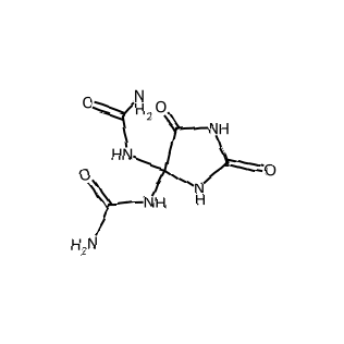 NC(=O)NC1(NC(N)=O)NC(=O)NC1=O